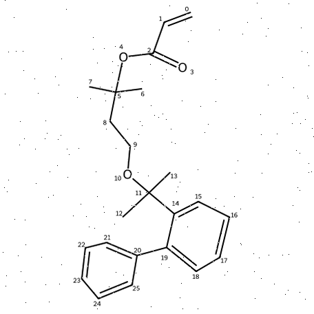 C=CC(=O)OC(C)(C)CCOC(C)(C)c1ccccc1-c1ccccc1